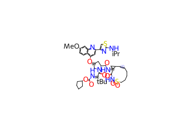 COc1ccc2c(O[C@@H]3CC(C(=O)N[C@]45CC4/C=C\CCCCS(=O)(=O)NC5=O)N(C(=O)[C@@H](NC(=O)OC4CCCC4)C(C)(C)C)C3)cc(-c3csc(NC(C)C)n3)nc2c1